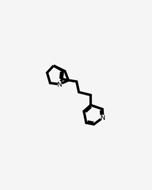 C1=C(CCCc2cccnc2)N2CCC1CC2